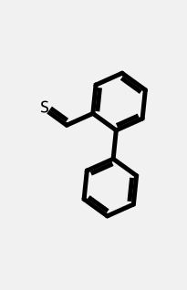 S=Cc1ccccc1-c1ccccc1